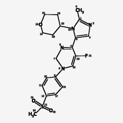 Cc1ncc(C2=NCN(c3ccc(S(C)(=O)=O)cc3)C=C2F)n1C1CCOCC1